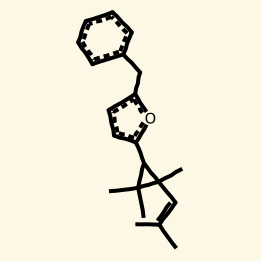 CC(C)=CC1(C)C(c2ccc(Cc3ccccc3)o2)C1(C)C